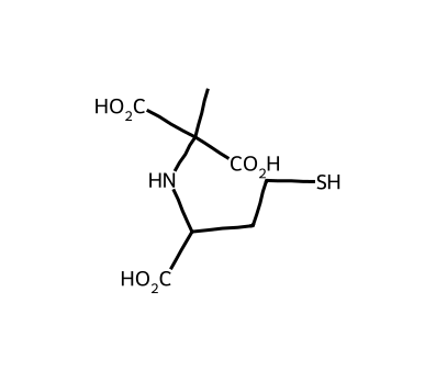 CC(NC(CCS)C(=O)O)(C(=O)O)C(=O)O